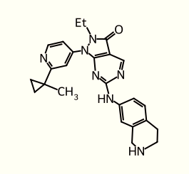 CCn1c(=O)c2cnc(Nc3ccc4c(c3)CNCC4)nc2n1-c1ccnc(C2(C)CC2)c1